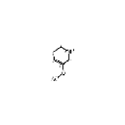 CC(=O)OC1=CCCNC1